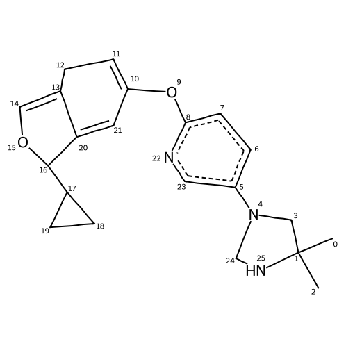 CC1(C)CN(c2ccc(OC3=CCC4=COC(C5CC5)C4=C3)nc2)CN1